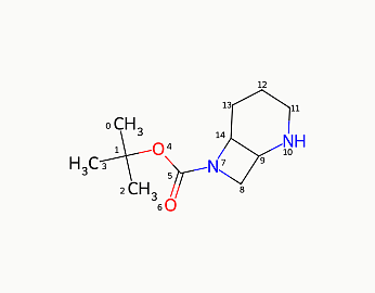 CC(C)(C)OC(=O)N1CC2NCCCC21